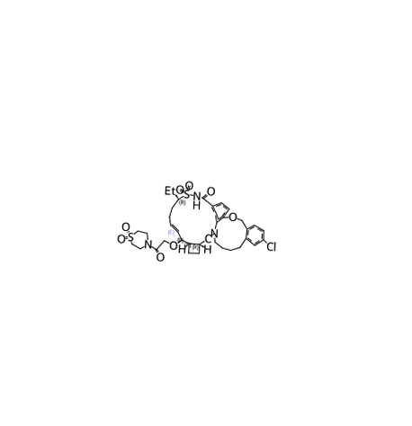 CC[C@@H]1CC/C=C/[C@H](OCC(=O)N2CCS(=O)(=O)CC2)[C@@H]2CC[C@H]2CN2CCCCc3cc(Cl)ccc3COc3ccc(cc32)C(=O)NS1(=O)=O